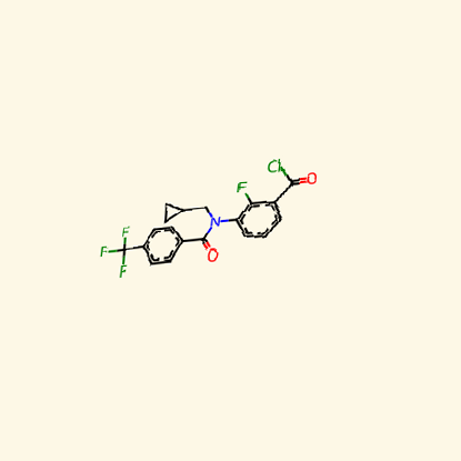 O=C(Cl)c1cccc(N(CC2CC2)C(=O)c2ccc(C(F)(F)F)cc2)c1F